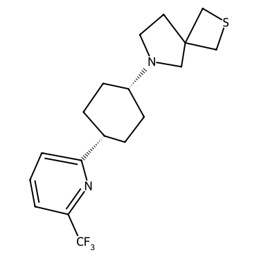 FC(F)(F)c1cccc([C@H]2CC[C@@H](N3CCC4(CSC4)C3)CC2)n1